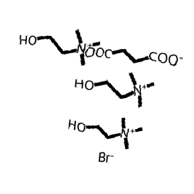 C[N+](C)(C)CCO.C[N+](C)(C)CCO.C[N+](C)(C)CCO.O=C([O-])CCC(=O)[O-].[Br-]